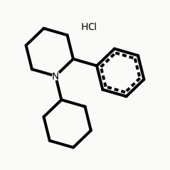 Cl.c1ccc(C2CCCCN2C2CCCCC2)cc1